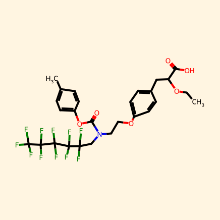 CCOC(Cc1ccc(OCCN(CC(F)(F)C(F)(F)C(F)(F)C(F)(F)C(F)(F)F)C(=O)Oc2ccc(C)cc2)cc1)C(=O)O